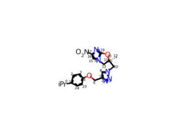 CC(C)c1ccc(OCc2cn(C[C@@]3(C)Cn4cc([N+](=O)[O-])nc4O3)nn2)cc1